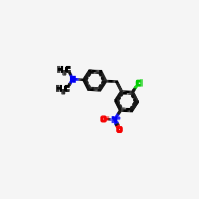 CN(C)c1ccc(Cc2cc([N+](=O)[O-])ccc2Cl)cc1